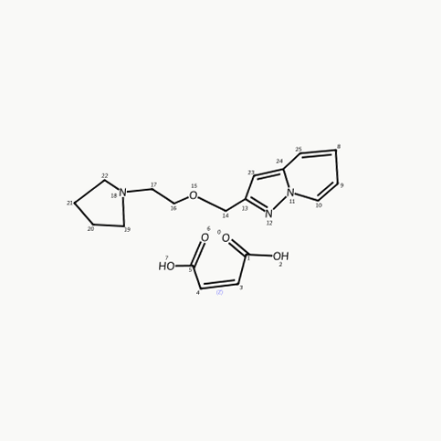 O=C(O)/C=C\C(=O)O.c1ccn2nc(COCCN3CCCC3)cc2c1